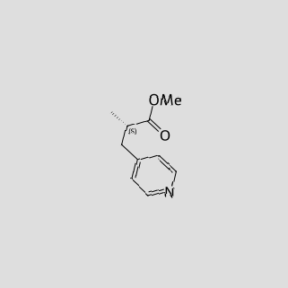 COC(=O)[C@@H](C)Cc1ccncc1